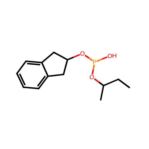 CCC(C)OP(O)OC1Cc2ccccc2C1